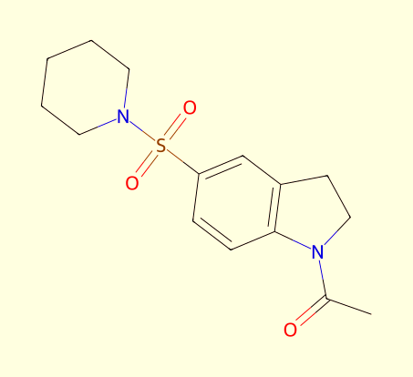 CC(=O)N1CCc2cc(S(=O)(=O)N3CCCCC3)ccc21